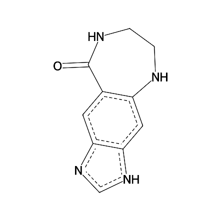 O=C1NCCNc2cc3[nH]cnc3cc21